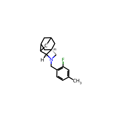 Cc1ccc(CN2C[C@@]34CC5CC(C3)C(C5)[C@@H]24)c(F)c1